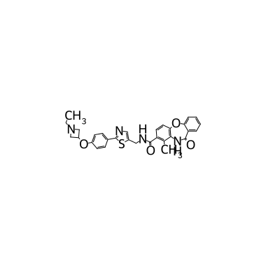 CCN1CC(Oc2ccc(-c3ncc(CNC(=O)c4ccc5c(c4C)NC(=O)c4ccccc4O5)s3)cc2)C1